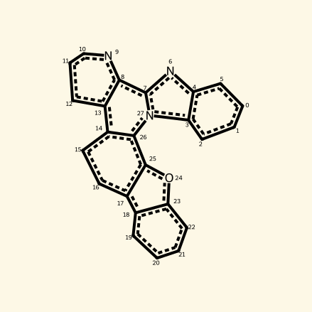 c1ccc2c(c1)nc1c3ncccc3c3ccc4c5ccccc5oc4c3n21